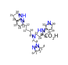 Cc1cc(C)n(CCN(CCCCc2ccc3c(n2)NCCC3)CC[C@H](Nc2cccnc2)C(=O)O)n1